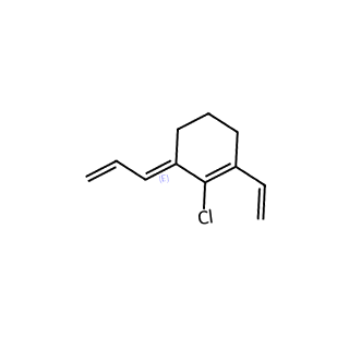 C=C/C=C1\CCCC(C=C)=C1Cl